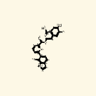 O=C(OCCc1cc(F)c(Cl)cc1C(=O)O)c1cccc(-c2ccc3cc[nH]c3c2F)n1